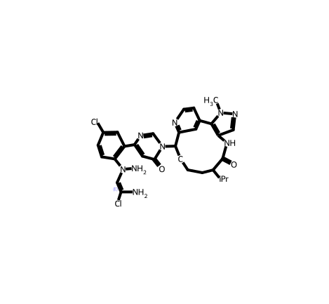 CC(C)C1CCCC(n2cnc(-c3cc(Cl)ccc3N(N)/C=C(\N)Cl)cc2=O)c2cc(ccn2)-c2c(cnn2C)NC1=O